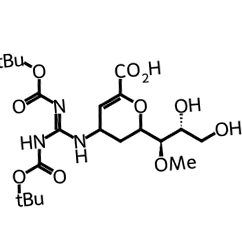 CO[C@@H](C1CC(NC(=NC(=O)OC(C)(C)C)NC(=O)OC(C)(C)C)C=C(C(=O)O)O1)[C@H](O)CO